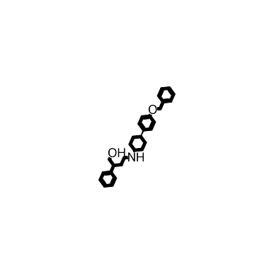 OCC(CCN[C@H]1CC[C@H](c2ccc(OCc3ccccc3)cc2)CC1)c1ccccc1